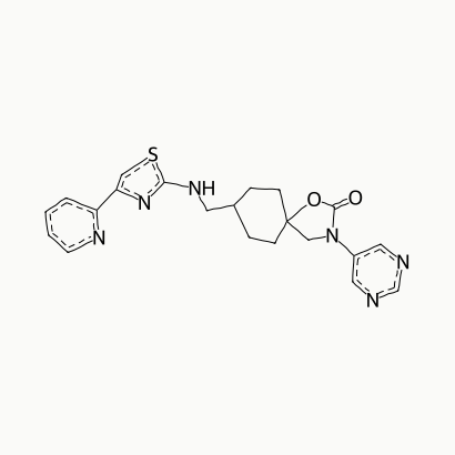 O=C1OC2(CCC(CNc3nc(-c4ccccn4)cs3)CC2)CN1c1cncnc1